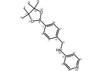 CC1(C)OB(c2ccc(CNc3ccncc3)cc2)OC1(C)C